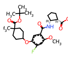 COc1cc(F)c(OC2CCC(C)(C(=O)OC(C)(C)C)CC2)cc1C(=O)N[C@@H]1CCC[C@@H]1C(=O)O